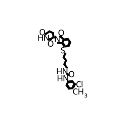 Cc1ccc(NC(=O)NCCCCCSc2cccc3c2CN(C2CCC(=O)NC2=O)C3=O)cc1Cl